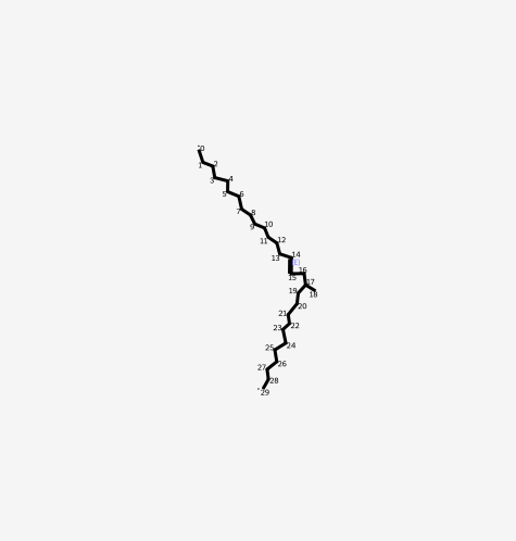 [CH2]CCCCCCCCCCCCC/C=C/CC(C)CCCCCCCCCC[CH2]